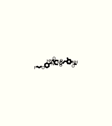 CC(=O)Nc1ccc(CCS(=O)(=O)N2CCC3(CC2)N=C(C2CCC(OCCCF)CC2)NC3=O)c(C)c1